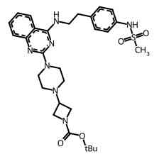 CC(C)(C)OC(=O)N1CC(N2CCN(c3nc(NCCc4ccc(NS(C)(=O)=O)cc4)c4ccccc4n3)CC2)C1